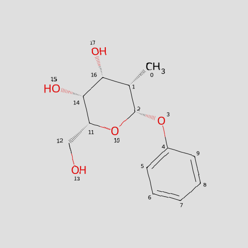 C[C@@H]1[C@H](Oc2ccccc2)O[C@H](CO)[C@H](O)[C@@H]1O